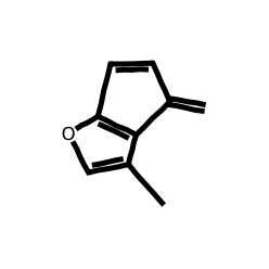 C=C1C=Cc2occ(C)c21